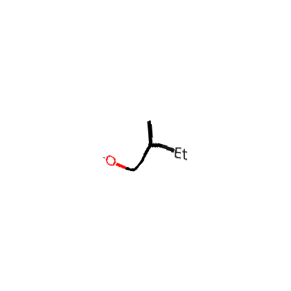 [CH2]CC(C)C[O]